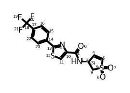 O=C(N[C@H]1C=CS(=O)(=O)C1)c1csc(-c2ccc(C(F)(F)F)cc2)n1